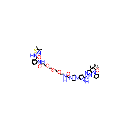 CC(=O)c1c(C)c2cnc(Nc3ccc(N4CCN(CC(=O)NCCOCCOCCOCCC(=O)Nc5ccccc5C(=O)Nc5nc(C)c(C)s5)CC4)cn3)nc2n(C2CCCC2)c1=O